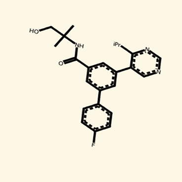 CC(C)c1ncncc1-c1cc(C(=O)NC(C)(C)CO)cc(-c2ccc(F)cc2)c1